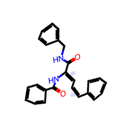 O=C(NCc1ccccc1)/C(=C/C=C\c1ccccc1)NC(=O)c1ccccc1